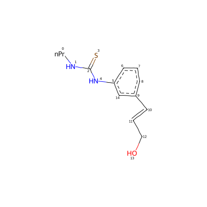 CCCNC(=S)Nc1cccc(/C=C/CO)c1